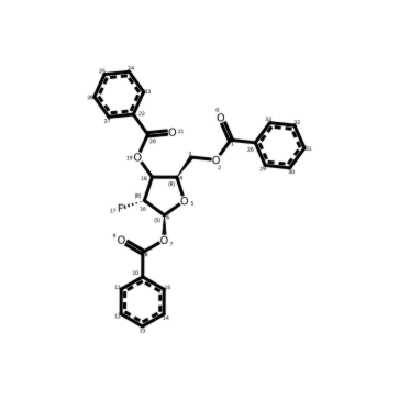 O=C(OC[C@H]1O[C@@H](OC(=O)c2ccccc2)[C@H](F)C1OC(=O)c1ccccc1)c1ccccc1